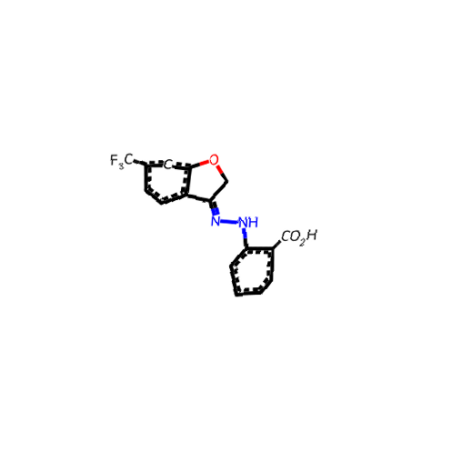 O=C(O)c1ccccc1NN=C1COc2cc(C(F)(F)F)ccc21